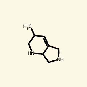 CC1C=C2CNCC2NC1